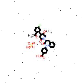 COc1cn(C(Cc2ccccc2)C(=O)Nc2ccc(C(=O)O)cc2)c(=O)cc1-c1cc(Cl)ccc1C(C)=O.O=S(=O)(O)O